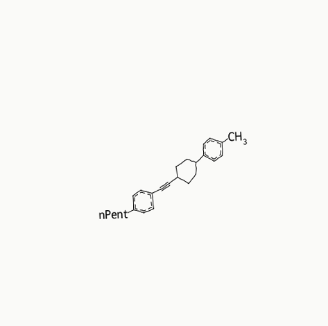 CCCCCc1ccc(C#CC2CCC(c3ccc(C)cc3)CC2)cc1